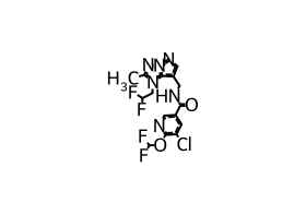 Cc1nn2ncc(CNC(=O)c3cnc(OC(F)F)c(Cl)c3)c2n1CC(F)F